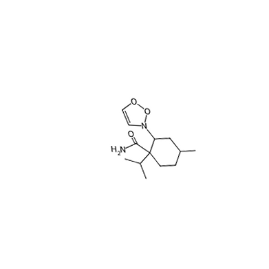 CC1CCC(C(N)=O)(C(C)C)C(N2C=COO2)C1